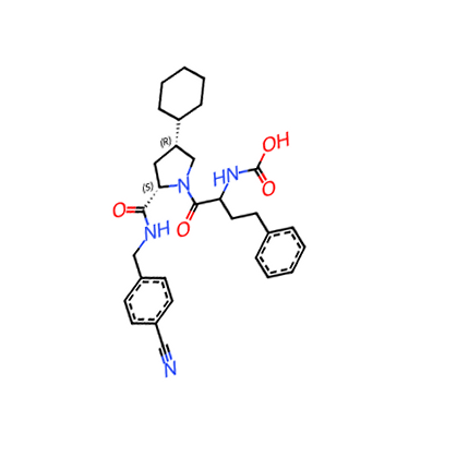 N#Cc1ccc(CNC(=O)[C@@H]2C[C@H](C3CCCCC3)CN2C(=O)C(CCc2ccccc2)NC(=O)O)cc1